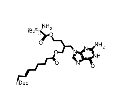 CCCCCCCCCCCC=CCCCCC(=O)OCC(CCOC(=O)[C@@H](N)[C@@H](C)CC)Cn1cnc2c(=O)[nH]c(N)nc21